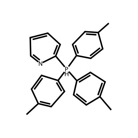 Cc1ccc([PH](c2ccc(C)cc2)(c2ccc(C)cc2)c2ccccn2)cc1